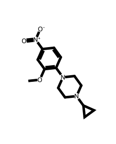 COc1cc([N+](=O)[O-])ccc1N1CCN(C2CC2)CC1